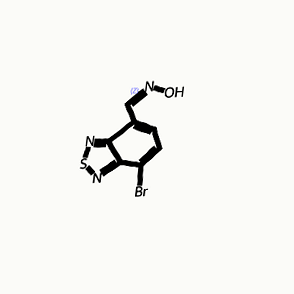 O/N=C\c1ccc(Br)c2nsnc12